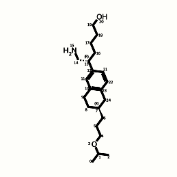 CC(C)OCCC[C@H]1CCc2cc([C@H](CN)CCCCO)ccc2C1